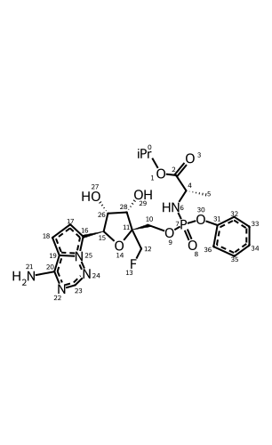 CC(C)OC(=O)[C@H](C)NP(=O)(OC[C@@]1(CF)O[C@@H](c2ccc3c(N)ncnn23)[C@H](O)[C@@H]1O)Oc1ccccc1